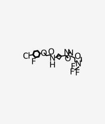 O=C(COc1ccc(Cl)c(F)c1)NC12CC(c3nnc(C4CN(CC(F)(F)F)CCO4)o3)(C1)C2